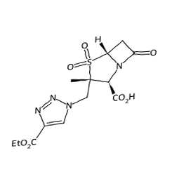 CCOC(=O)c1cn(C[C@@]2(C)[C@H](C(=O)O)N3C(=O)C[C@H]3S2(=O)=O)nn1